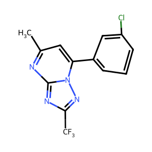 Cc1cc(-c2cccc(Cl)c2)n2nc(C(F)(F)F)nc2n1